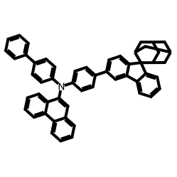 c1ccc(-c2ccc(N(c3ccc(-c4ccc5c(c4)-c4ccccc4C54C5CC6CC(C5)CC4C6)cc3)c3cc4ccccc4c4ccccc34)cc2)cc1